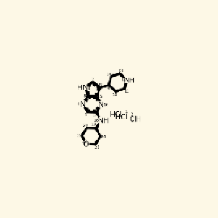 Cl.Cl.Cl.c1nc2[nH]cc(C3CCNCC3)c2nc1NC1CCOCC1